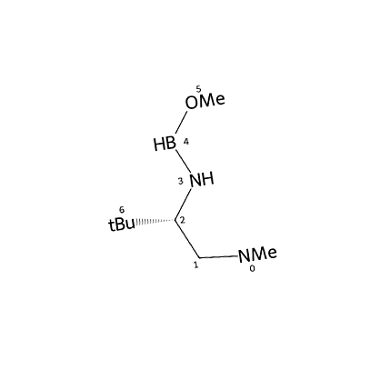 CNC[C@@H](NBOC)C(C)(C)C